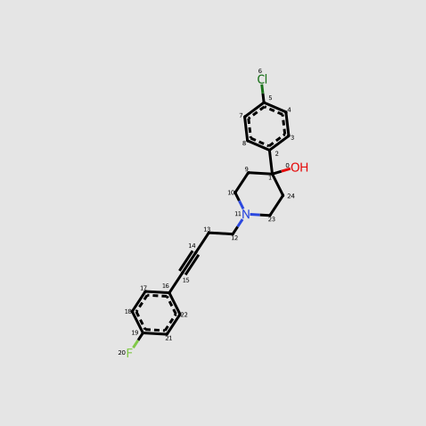 OC1(c2ccc(Cl)cc2)CCN(CCC#Cc2ccc(F)cc2)CC1